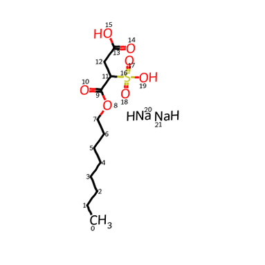 CCCCCCCCOC(=O)C(CC(=O)O)S(=O)(=O)O.[NaH].[NaH]